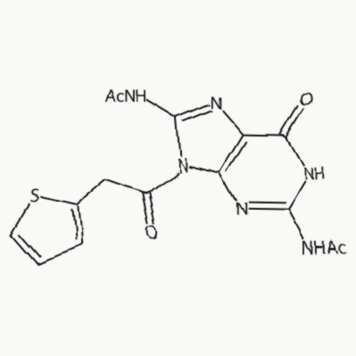 CC(=O)Nc1nc2c(nc(NC(C)=O)n2C(=O)Cc2cccs2)c(=O)[nH]1